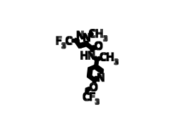 CC(NC(=O)c1cc(C(F)(F)F)nn1C)c1ccc(OCC(F)(F)F)nc1